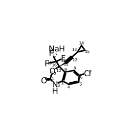 O=C1Nc2ccc(Cl)cc2[C@@](C#CC2CC2)(C(F)(F)F)O1.[NaH]